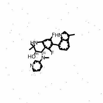 Cc1c[nH]c2c(-c3c(F)cc4c(c3F)[C@H](N(C)c3cccnc3)[C@@H](O)C(C)(C)N4)cccc12